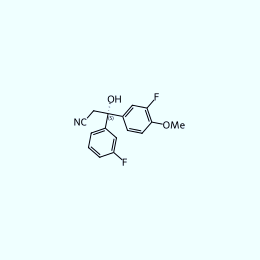 COc1ccc([C@](O)(CC#N)c2cccc(F)c2)cc1F